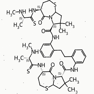 CN[C@@H](C)C(=S)N[C@H]1CCSC2CC(C)(C)[C@@H](C(=O)Nc3ccccc3CCc3ccccc3NC(=O)[C@H]3N4C(=O)[C@@H](NC(=S)[C@H](C)NC)CCSC4CC3(C)C)N2C1=O